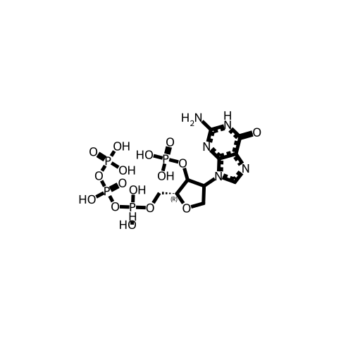 Nc1nc2c(ncn2C2CO[C@H](CO[PH](O)(O)OP(=O)(O)OP(=O)(O)O)C2OP(=O)(O)O)c(=O)[nH]1